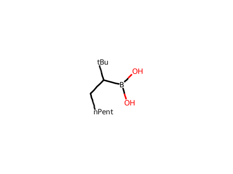 CCCCCCC(B(O)O)C(C)(C)C